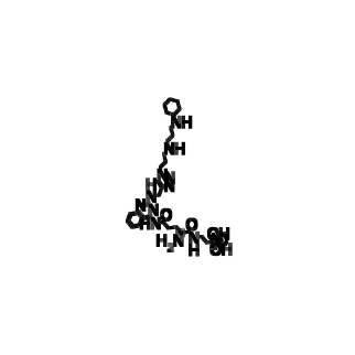 N[C@@H](CCC(=O)Nc1nc(NCc2cn(CCCNCCCNC3CCCCC3)nn2)nc2ccccc12)C(=O)NCCP(=O)(O)O